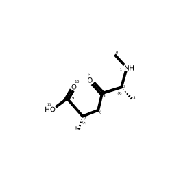 CN[C@H](C)C(=O)C[C@H](C)C(=O)O